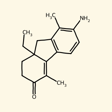 CCC12CCC(=O)C(C)=C1c1ccc(N)c(C)c1C2